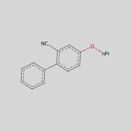 CCCOc1ccc(-c2ccccc2)c(C#N)c1